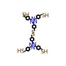 SCc1ccc(-c2nc(-c3ccc(CS)cc3)nc(-c3ccc(CSSCc4ccc(-c5nc(-c6ccc(CS)cc6)nc(-c6ccc(CS)cc6)n5)cc4)cc3)n2)cc1